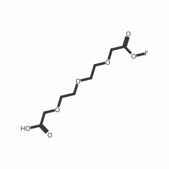 O=C(O)COCCOCCOCC(=O)OF